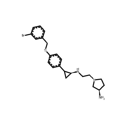 N[C@@H]1CCN(CCN[C@H]2CC2c2ccc(OCc3cccc(Br)c3)cc2)C1